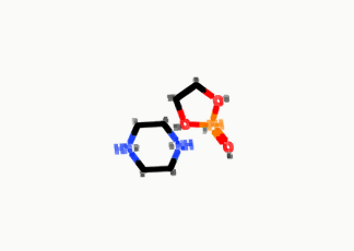 C1CNCCN1.O=[PH]1OCCO1